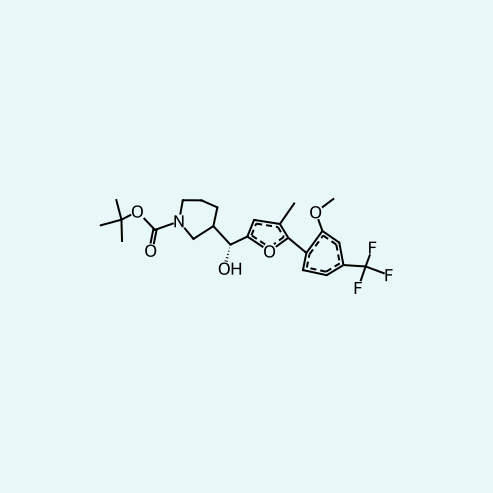 COc1cc(C(F)(F)F)ccc1-c1oc([C@H](O)C2CCCN(C(=O)OC(C)(C)C)C2)cc1C